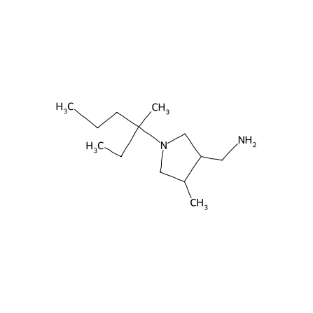 CCCC(C)(CC)N1CC(C)C(CN)C1